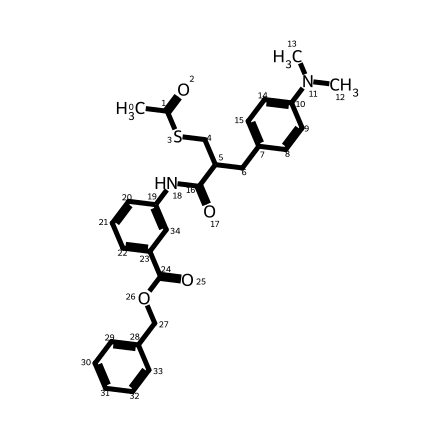 CC(=O)SCC(Cc1ccc(N(C)C)cc1)C(=O)Nc1cccc(C(=O)OCc2ccccc2)c1